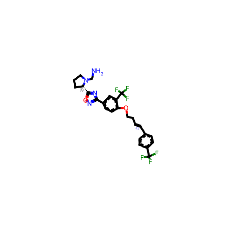 NCN1CCC[C@H]1c1nc(-c2ccc(OCC/C=C/c3ccc(C(F)(F)F)cc3)c(C(F)(F)F)c2)no1